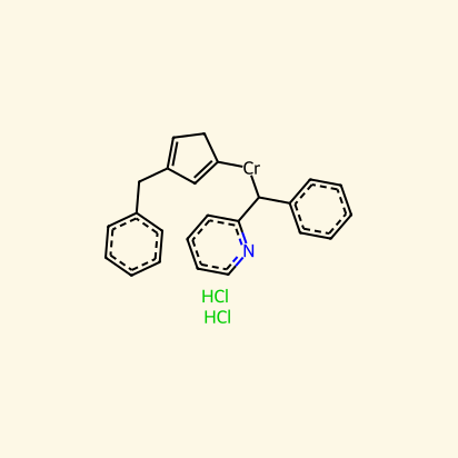 C1=C(Cc2ccccc2)C=[C]([Cr][CH](c2ccccc2)c2ccccn2)C1.Cl.Cl